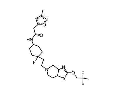 Cc1cc(CC(=O)NC2CCC(F)(CCN3CCC4SC(OCC(C)(F)F)=NC4C3)CC2)on1